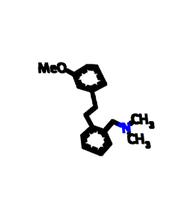 COc1cccc(CCc2ccccc2CN(C)C)c1